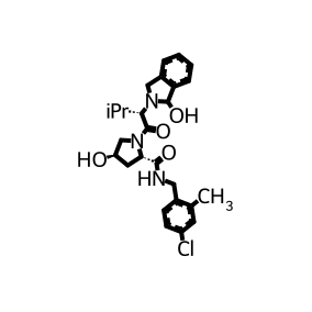 Cc1cc(Cl)ccc1CNC(=O)[C@@H]1C[C@@H](O)CN1C(=O)[C@H](C(C)C)N1Cc2ccccc2C1O